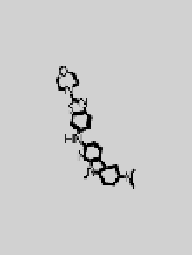 CN(C)C1CCc2c(c3ccc(Nc4ccc5nc(N6CCOCC6)sc5c4)nc3n2C)C1